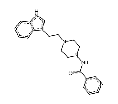 O=C(NN1CCN(CCc2c[nH]c3ccccc23)CC1)c1cccnc1